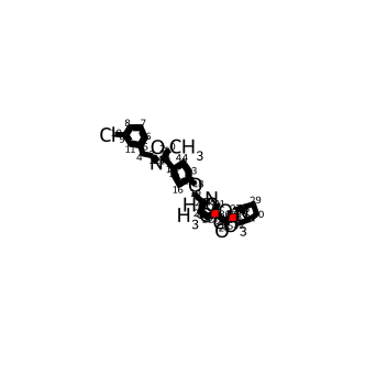 Cc1oc(Cc2cccc(Cl)c2)nc1-c1ccc(OCc2ccc(C(=O)N3CC4CCC(C3)N4C(=O)OC(C)(C)C)cn2)cc1